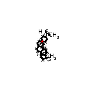 CN(C)c1ccc(C[C@]23CCCCC2CC[C@@H]2[C@H]3CC[C@]3(C)C(=O)C=C[C@@H]23)cc1